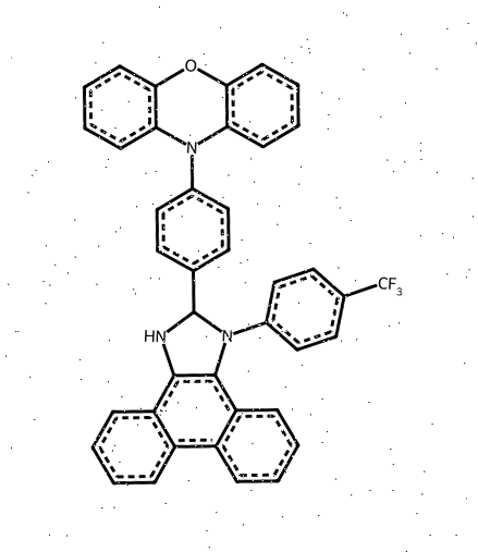 FC(F)(F)c1ccc(N2c3c(c4ccccc4c4ccccc34)NC2c2ccc(N3c4ccccc4Oc4ccccc43)cc2)cc1